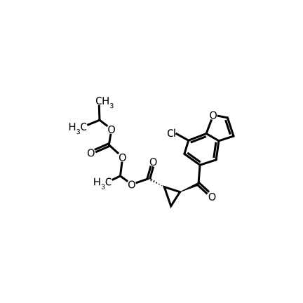 CC(C)OC(=O)OC(C)OC(=O)[C@H]1C[C@@H]1C(=O)c1cc(Cl)c2occc2c1